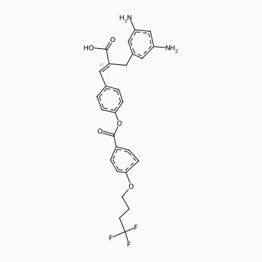 Nc1cc(N)cc(C/C(=C\c2ccc(OC(=O)c3ccc(OCCCC(F)(F)F)cc3)cc2)C(=O)O)c1